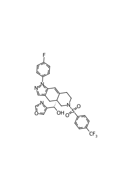 O=S(=O)(c1ccc(C(F)(F)F)cc1)N1CCC2=Cc3c(cnn3-c3ccc(F)cc3)C[C@]2(C(O)c2cocn2)C1